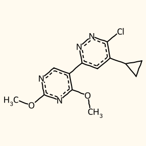 COc1ncc(-c2cc(C3CC3)c(Cl)nn2)c(OC)n1